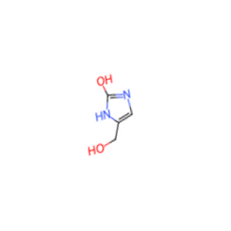 OCc1cnc(O)[nH]1